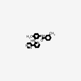 Cc1ccc(NC(=O)C2CCCC(C)C2)cc1Nc1ncccc1-c1ccncn1